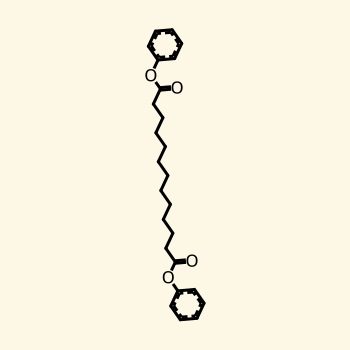 O=C(CCCCCCCCCCCC(=O)Oc1ccccc1)Oc1ccccc1